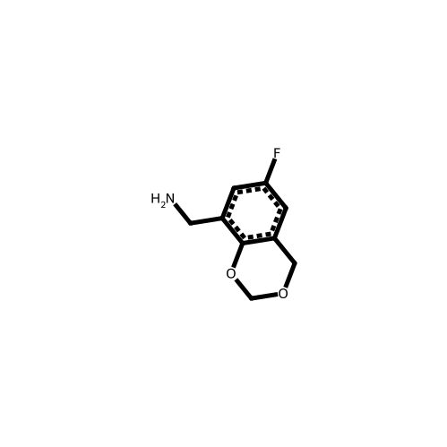 NCc1cc(F)cc2c1OCOC2